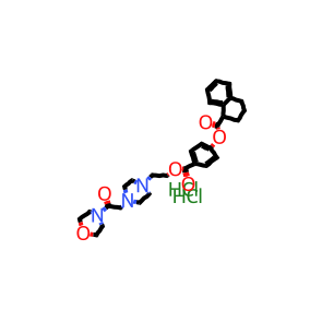 Cl.Cl.O=C(OCCN1CCN(CC(=O)N2CCOCC2)CC1)c1ccc(OC(=O)C2CCCc3ccccc32)cc1